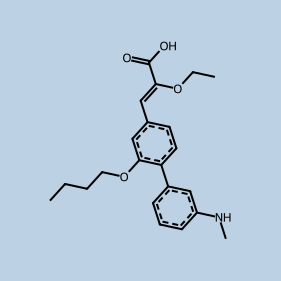 CCCCOc1cc(C=C(OCC)C(=O)O)ccc1-c1cccc(NC)c1